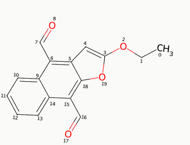 CCOc1cc2c(C=O)c3ccccc3c(C=O)c2o1